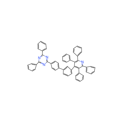 c1ccc(-c2nc(-c3ccccc3)nc(-c3ccc(-c4cccc(-c5c(-c6ccccc6)c(-c6ccccc6)nc(-c6ccccc6)c5-c5ccccc5)c4)cc3)n2)cc1